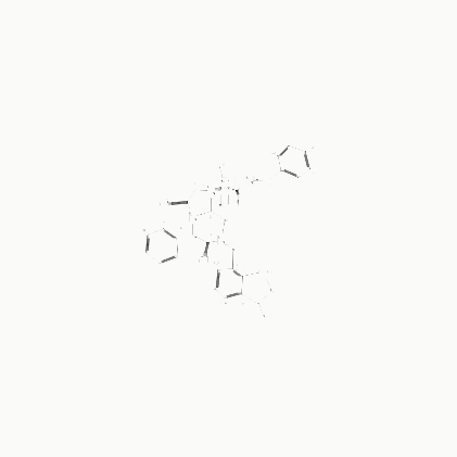 CC1COc2c(CN3C[C@H]4N(C(=O)CN4N(C)C(=O)NCc4ccccc4)[C@@H](c4ccccc4)C3=O)cccc21